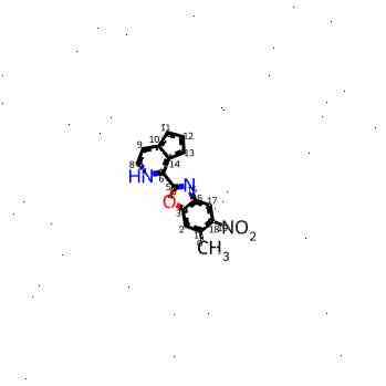 Cc1cc2oc(-c3[nH]ccc4cccc3-4)nc2cc1[N+](=O)[O-]